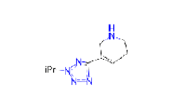 CC(C)n1nnc(C2=CCCNC2)n1